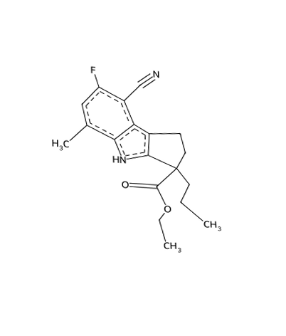 CCCC1(C(=O)OCC)CCc2c1[nH]c1c(C)cc(F)c(C#N)c21